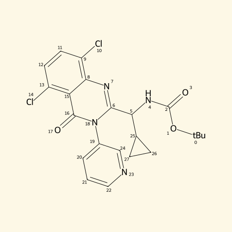 CC(C)(C)OC(=O)NC(c1nc2c(Cl)ccc(Cl)c2c(=O)n1-c1cccnc1)C1CC1